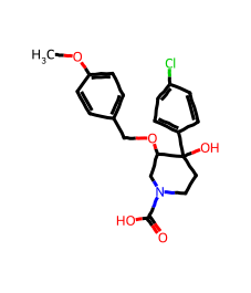 COc1ccc(COC2CN(C(=O)O)CCC2(O)c2ccc(Cl)cc2)cc1